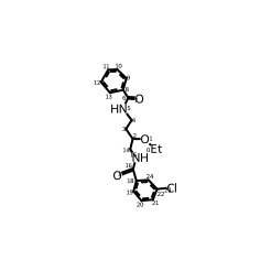 CCOC(CCNC(=O)c1ccccc1)CNC(=O)c1cccc(Cl)c1